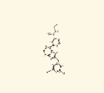 [CH2]CNC(=O)c1cccc(-c2cccc3cc(Cc4cc(F)cc(Cl)c4)sc23)c1